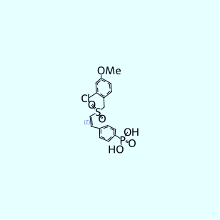 COc1ccc(CS(=O)(=O)/C=C\c2ccc(P(=O)(O)O)cc2)c(Cl)c1